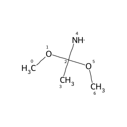 COC(C)([NH])OC